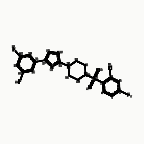 O=S(=O)(c1ccc(F)cc1Cl)N1CCN(c2nc(-c3cc(F)cc(F)c3)cs2)CC1